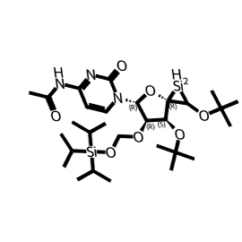 CC(=O)Nc1ccn([C@@H]2O[C@@]3([SiH2]C3OC(C)(C)C)[C@@H](OC(C)(C)C)[C@H]2OCO[Si](C(C)C)(C(C)C)C(C)C)c(=O)n1